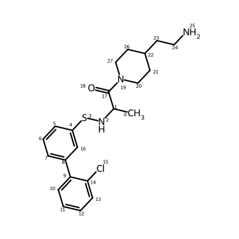 CC(NSc1cccc(-c2ccccc2Cl)c1)C(=O)N1CCC(CCN)CC1